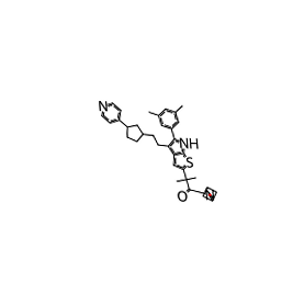 Cc1cc(C)cc(-c2[nH]c3sc(C(C)(C)C(=O)N4C=C5CC4C5)cc3c2CCC2CCC(c3ccncc3)C2)c1